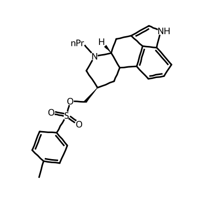 CCCN1C[C@H](COS(=O)(=O)c2ccc(C)cc2)CC2c3cccc4[nH]cc(c34)C[C@H]21